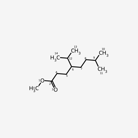 COC(=O)CCC(CCC(C)C)C(C)C